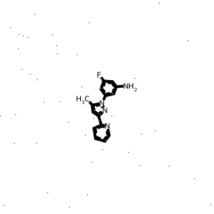 Cc1cc(-c2ccccn2)nn1-c1cc(N)cc(F)c1